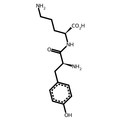 NCCC[C@H](NC(=O)[C@@H](N)Cc1ccc(O)cc1)C(=O)O